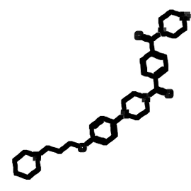 O=C(c1ccc(C(=O)N2CCN(c3ccc(OCCCN4CCCCC4)cc3)CC2)cc1)N1CCNCC1